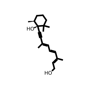 CC(C#C[C@]1(O)[C@@H](C)CCCC1(C)C)=CC=CC(C)=CCO